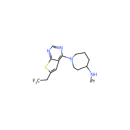 CC(C)NC1CCCN(c2ncnc3sc(CC(F)(F)F)cc23)CC1